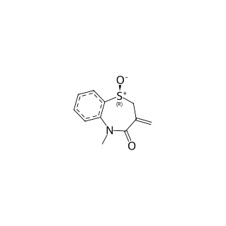 C=C1C[S@+]([O-])c2ccccc2N(C)C1=O